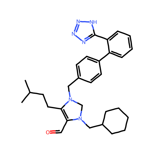 CC(C)CCC1=C(C=O)N(CC2CCCCC2)CN1Cc1ccc(-c2ccccc2-c2nnn[nH]2)cc1